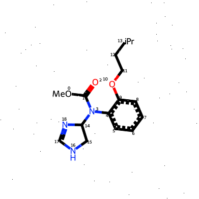 COC(=O)N(c1ccccc1OCCC(C)C)C1CNC=N1